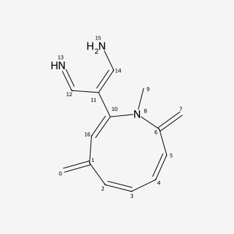 C=c1ccccc(=C)n(C)c(/C(C=N)=C/N)c1